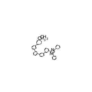 CCC1(C)C=CC(c2cccc(-c3cccc(-c4cccc(-c5cccc(-c6nc(-c7ccccc7)cc(C7C=CC=CC7)n6)c5)c4)c3)c2)=CCC1